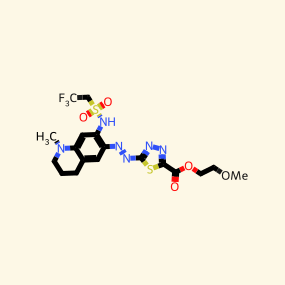 COCCOC(=O)c1nnc(N=Nc2cc3c(cc2NS(=O)(=O)CC(F)(F)F)N(C)CCC3)s1